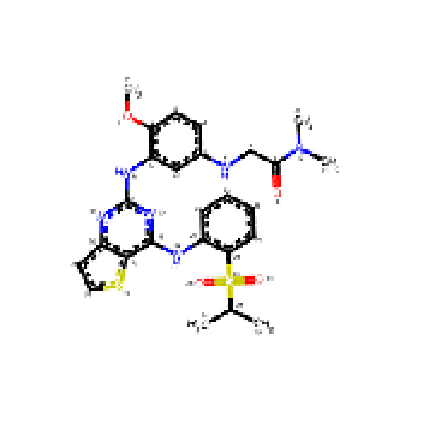 COc1ccc(NCC(=O)N(C)C)cc1Nc1nc(Nc2ccccc2S(=O)(=O)C(C)C)c2sccc2n1